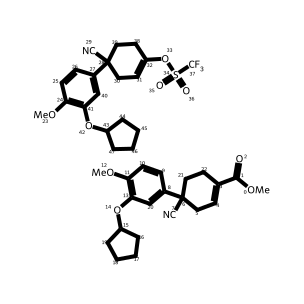 COC(=O)C1=CCC(C#N)(c2ccc(OC)c(OC3CCCC3)c2)CC1.COc1ccc(C2(C#N)CC=C(OS(=O)(=O)C(F)(F)F)CC2)cc1OC1CCCC1